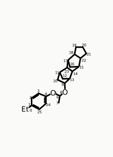 CCc1ccc(OC(C)OC2CC3CC2C2C4CC(C5CCCC54)C32)cc1